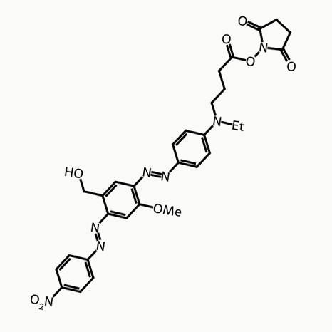 CCN(CCCC(=O)ON1C(=O)CCC1=O)c1ccc(N=Nc2cc(CO)c(N=Nc3ccc([N+](=O)[O-])cc3)cc2OC)cc1